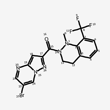 CN1c2c(cccc2C(F)(F)F)CCN1C(=O)c1cc2ncc(Br)cn2n1